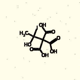 CC(O)(I)C(C(=O)O)(C(=O)O)C(=O)O